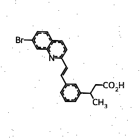 CC(CC(=O)O)c1cccc(C=Cc2ccc3ccc(Br)cc3n2)c1